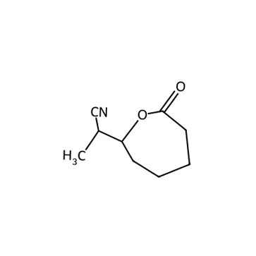 CC(C#N)C1CCCCC(=O)O1